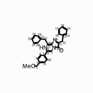 COCc1ccc(-c2cn3c(=O)c(Cc4ccccc4)nc-3c(Cc3ccccc3)[nH]2)cc1